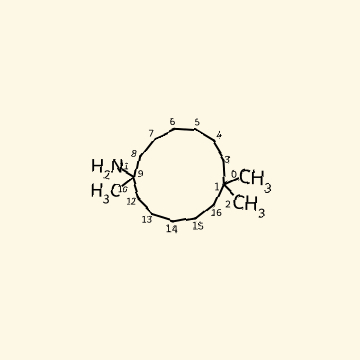 CC1(C)CCCCCCC(C)(N)CCCCC1